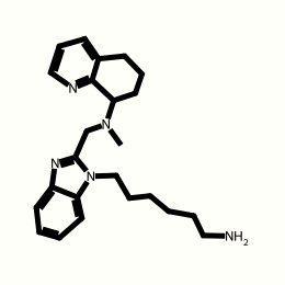 CN(Cc1nc2ccccc2n1CCCCCCN)C1CCCc2cccnc21